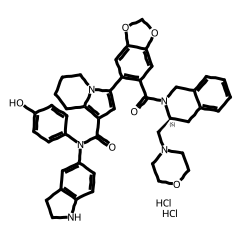 Cl.Cl.O=C(c1cc(-c2cc3c(cc2C(=O)N2Cc4ccccc4C[C@H]2CN2CCOCC2)OCO3)n2c1CCCC2)N(c1ccc(O)cc1)c1ccc2c(c1)CCN2